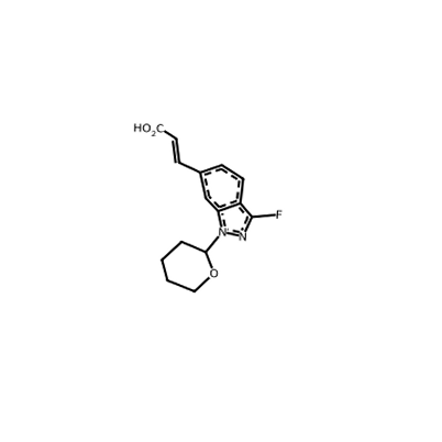 O=C(O)C=Cc1ccc2c(F)nn(C3CCCCO3)c2c1